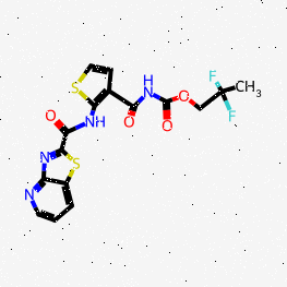 CC(F)(F)COC(=O)NC(=O)c1ccsc1NC(=O)c1nc2ncccc2s1